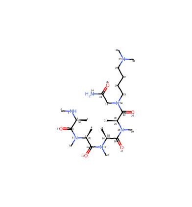 CN[C@@H](C)C(=O)N(C)[C@@H](C)C(=O)N(C)[C@@H](C)C(=O)N(C)[C@@H](C)C(=O)N(CCCCN(C)C)CC(N)=O